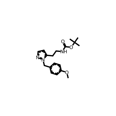 COc1ccc(Cn2nccc2CCNC(=O)OC(C)(C)C)cc1